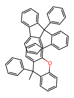 CC1(c2ccccc2)c2ccccc2Oc2c(-c3ccccc3C3(c4ccccc4)c4ccccc4-c4ccccc43)cccc21